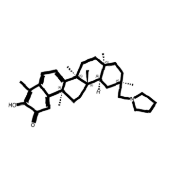 CC1=C(O)C(=O)C=C2C1=CC=C1[C@@]2(C)CC[C@@]2(C)[C@@H]3C[C@](C)(CN4CCCC4)CC[C@]3(C)CC[C@]12C